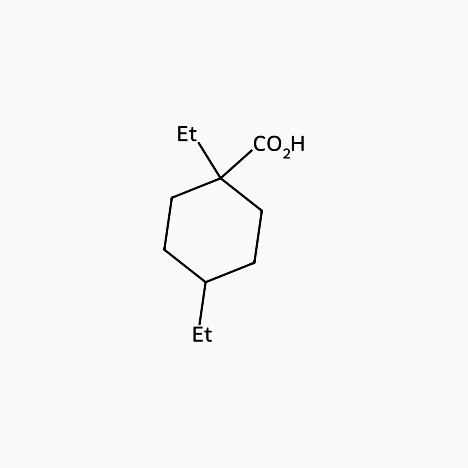 CCC1CCC(CC)(C(=O)O)CC1